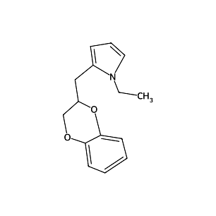 CCn1cccc1CC1COc2ccccc2O1